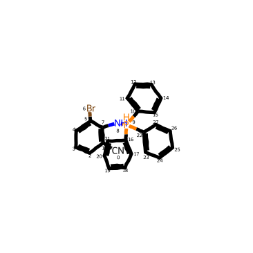 N#Cc1cccc(Br)c1N[PH](c1ccccc1)(c1ccccc1)c1ccccc1